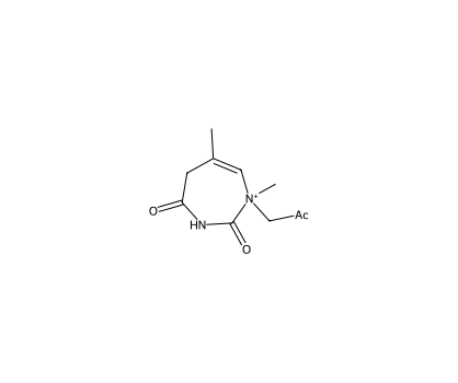 CC(=O)C[N+]1(C)C=C(C)CC(=O)NC1=O